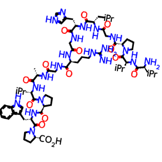 CC(C)C[C@H](NC(=O)CNC(=O)[C@@H]1CCCN1C(=O)[C@@H](NC(=O)[C@@H](N)C(C)C)C(C)C)C(=O)N[C@@H](Cc1c[nH]cn1)C(=O)NCC(=O)N[C@@H](CCCNC(=N)N)C(=O)NCC(=O)N[C@@H](C)C(=O)N[C@H](C(=O)N1CCC[C@H]1C(=O)N[C@@H](Cc1c[nH]c2ccccc12)C(=O)N1CCC[C@H]1C(=O)O)C(C)C